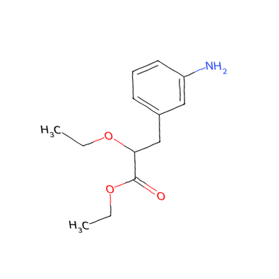 CCOC(=O)C(Cc1cccc(N)c1)OCC